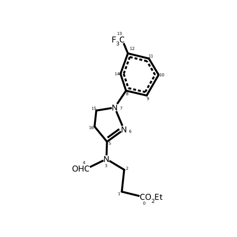 CCOC(=O)CCN(C=O)C1=NN(c2cccc(C(F)(F)F)c2)CC1